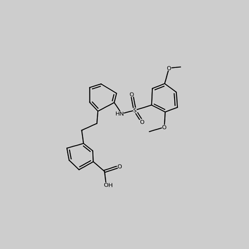 COc1ccc(OC)c(S(=O)(=O)Nc2ccccc2CCc2cccc(C(=O)O)c2)c1